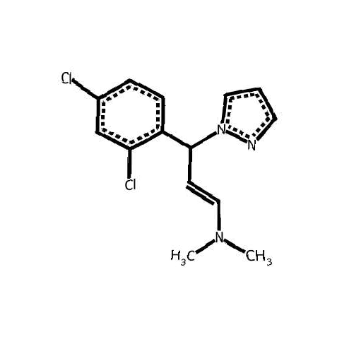 CN(C)C=CC(c1ccc(Cl)cc1Cl)n1cccn1